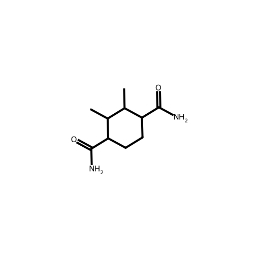 CC1C(C(N)=O)CCC(C(N)=O)C1C